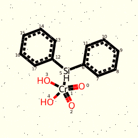 [O]=[Cr](=[O])([OH])([OH])[SiH](c1ccccc1)c1ccccc1